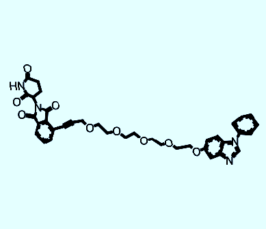 O=C1CCC(N2C(=O)c3cccc(C#CCOCCOCCOCCOCCOc4ccc5c(c4)ncn5-c4ccccc4)c3C2=O)C(=O)N1